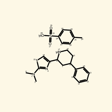 CN(C)c1nc(C2CC(c3ccccc3)CCN2)cs1.Cc1ccc(S(=O)(=O)O)cc1